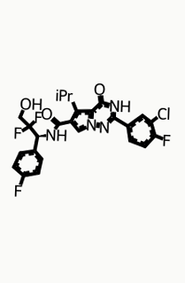 CC(C)c1c(C(=O)N[C@@H](c2ccc(F)cc2)C(F)(F)CO)cn2nc(-c3ccc(F)c(Cl)c3)[nH]c(=O)c12